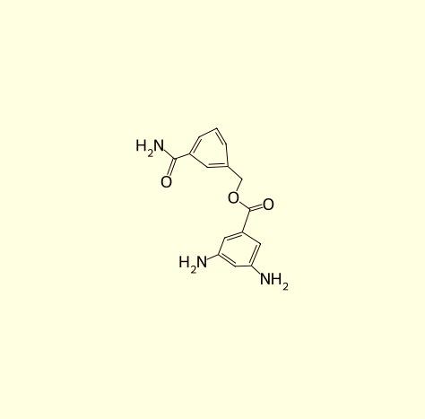 NC(=O)c1cccc(COC(=O)c2cc(N)cc(N)c2)c1